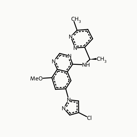 COc1cc(-n2cc(Cl)cn2)cc2c(N[C@H](C)c3ccc(C)nn3)ncnc12